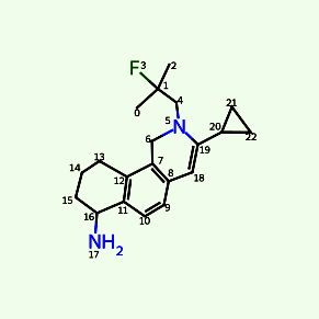 CC(C)(F)CN1Cc2c(ccc3c2CCCC3N)C=C1C1CC1